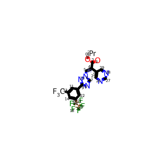 CC(C)OC(=O)/C(=C/n1cnc(-c2cc(C(F)(F)F)cc(S(F)(F)(F)(F)F)c2)n1)c1cncnc1